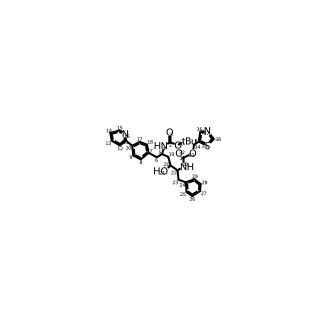 CC(C)(C)OC(=O)NC(Cc1ccc(-c2ccccn2)cc1)CC(O)C(Cc1ccccc1)NC(=O)OCc1cncs1